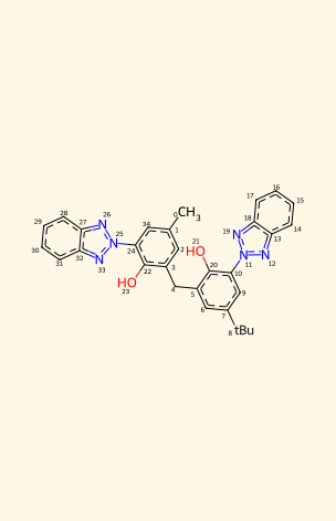 Cc1cc(Cc2cc(C(C)(C)C)cc(-n3nc4ccccc4n3)c2O)c(O)c(-n2nc3ccccc3n2)c1